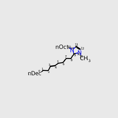 CCCCCCCCCCCCCCCCCCC1N(C)C=CN1CCCCCCCC